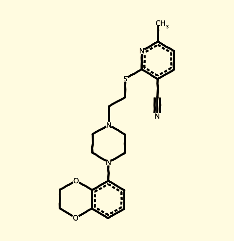 Cc1ccc(C#N)c(SCCN2CCN(c3cccc4c3OCCO4)CC2)n1